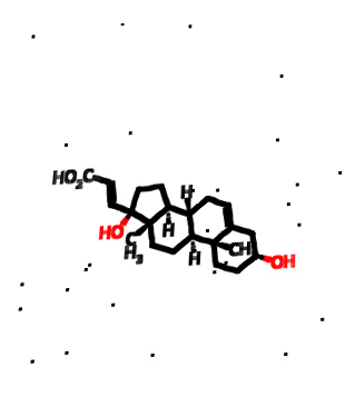 C[C@]12CC[C@H](O)CC1=CC[C@@H]1[C@@H]2CC[C@@]2(C)[C@H]1CC[C@@]2(O)C=CC(=O)O